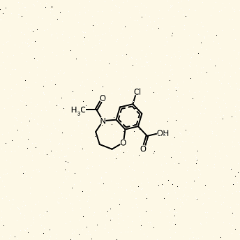 CC(=O)N1CCCOc2c(C(=O)O)cc(Cl)cc21